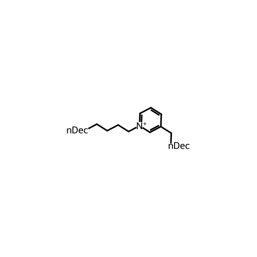 CCCCCCCCCCCCCC[n+]1cccc(CCCCCCCCCCC)c1